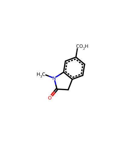 CN1C(=O)Cc2ccc(C(=O)O)cc21